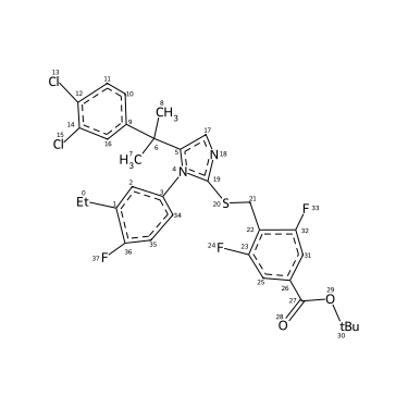 CCc1cc(-n2c(C(C)(C)c3ccc(Cl)c(Cl)c3)cnc2SCc2c(F)cc(C(=O)OC(C)(C)C)cc2F)ccc1F